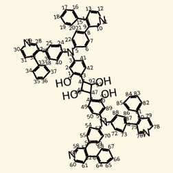 Oc1cc(N(c2ccc(-c3cnccc3-c3ccccc3)cc2)c2ccc(-c3cnccc3-c3ccccc3)cc2)ccc1C1C(O)C(c2ccc(N(c3ccc(-c4cnccc4-c4ccccc4)cc3)c3ccc(-c4cnccc4-c4ccccc4)cc3)cc2O)C1O